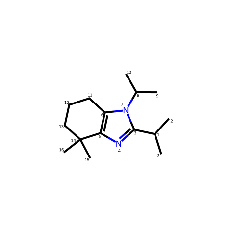 CC(C)c1nc2c(n1C(C)C)CCCC2(C)C